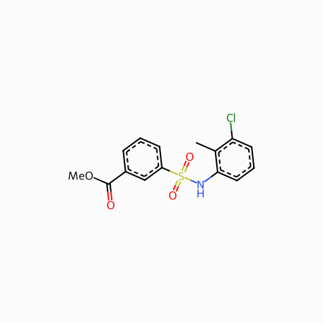 COC(=O)c1cccc(S(=O)(=O)Nc2cccc(Cl)c2C)c1